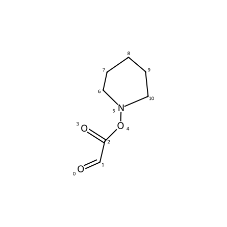 O=CC(=O)ON1CCCCC1